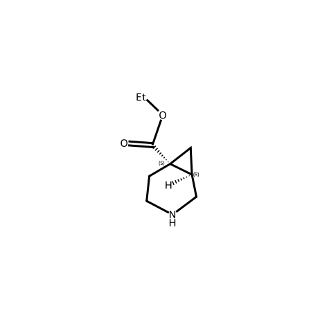 CCOC(=O)[C@@]12CCNC[C@@H]1C2